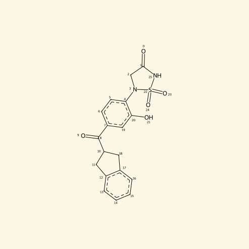 O=C1CN(c2ccc(C(=O)C3Cc4ccccc4C3)cc2O)S(=O)(=O)N1